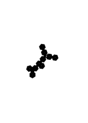 c1ccc(-c2ccc(N(c3ccc(-c4ccccc4)cc3)c3ccc(-c4ccc(-c5ccc6c(c5)c5ccccc5n6-c5ccccc5)c5ccccc45)cc3)cc2)cc1